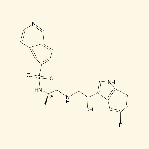 C[C@H](CNCC(O)c1c[nH]c2ccc(F)cc12)NS(=O)(=O)c1ccc2cnccc2c1